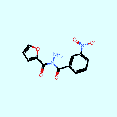 NN(C(=O)c1cccc([N+](=O)[O-])c1)C(=O)c1ccco1